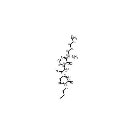 CCCC[C@@H]1NC[C@H](C(=O)N[C@@H](CS)C(=O)C(=O)[C@@H](N)CCCCN)NC1=O